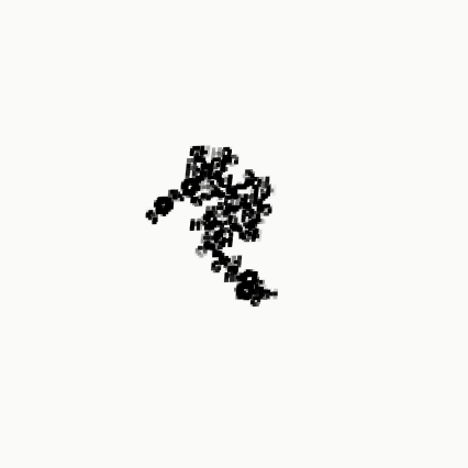 CSCC[C@H](NC(=O)[C@H](CCC(=O)O)NC(=O)[C@H](CC(=O)O)NC(=O)c1ccc(N=Nc2ccc(N(C)C)cc2)cc1)C(=O)N[C@@H](CCC(=O)O)C(=O)N[C@@H](CCC(=O)O)C(=O)N[C@@H](CS)C(=O)N[C@@H](C)C(=O)N[C@@H](CO)C(=O)N[C@@H](Cc1c[nH]cn1)C(=O)N[C@@H](CCC(=O)NCCNc1cccc2c(S(=O)(=O)O)cccc12)C(N)=O